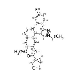 CCn1cc(-c2ncnc3cc(OC)c(NC(=O)C45COCC4C5)cc23)c(-c2ccc(F)cc2)n1